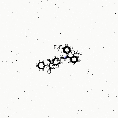 C=C1N(C2CCCCC2)C(=O)OC12CCN(C/C=C(\c1cccc(C(F)(F)F)c1)c1ccccc1OC(C)=O)CC2